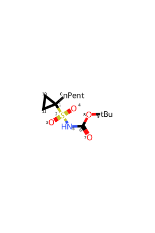 CCCCCC1(S(=O)(=O)NC(=O)OC(C)(C)C)CC1